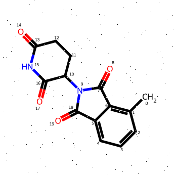 [CH2]c1cccc2c1C(=O)N(C1CCC(=O)NC1=O)C2=O